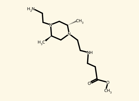 COC(=O)CCNCCN1C[C@@H](C)N(CCN)C[C@@H]1C